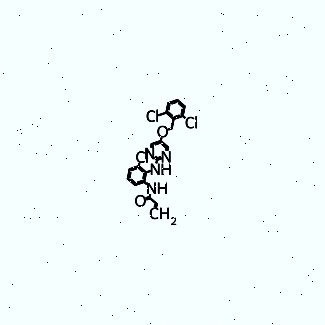 C=CC(=O)Nc1cccc(Cl)c1Nc1ncc(OCc2c(Cl)cccc2Cl)cn1